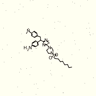 CCCCCCCCS(=O)(=O)N1CCN(c2nc(C(Cc3ccc(N(C)C)cc3)c3ccc(N)cc3)ns2)CC1